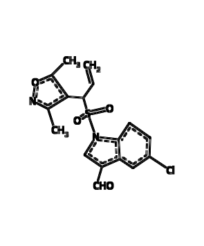 C=CC(c1c(C)noc1C)S(=O)(=O)n1cc(C=O)c2cc(Cl)ccc21